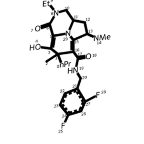 CCCC1(C)C(O)=C2C(=O)N(CC)CC3CC(NC)C(=C1C(=O)NCc1ccc(F)cc1F)N23